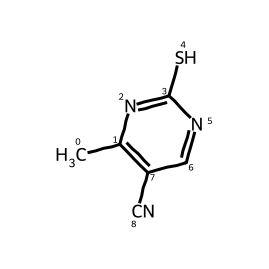 Cc1nc(S)ncc1C#N